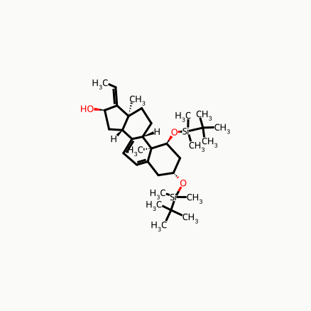 C/C=C1\[C@H](O)C[C@H]2C3=CC=C4C[C@@H](O[Si](C)(C)C(C)(C)C)C[C@H](O[Si](C)(C)C(C)(C)C)[C@]4(C)[C@H]3CC[C@]12C